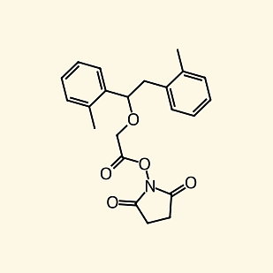 Cc1ccccc1CC(OCC(=O)ON1C(=O)CCC1=O)c1ccccc1C